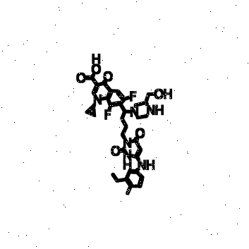 CCc1cc(Nc2cc(=O)n(CCCC(c3c(F)cc4c(=O)c(C(=O)O)cn(C5CC5)c4c3F)N3CCNC(CO)C3)c(=O)[nH]2)ccc1C